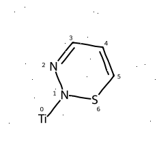 [Ti][N]1N=CC=CS1